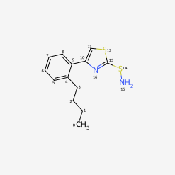 CCCCc1ccccc1-c1csc(SN)n1